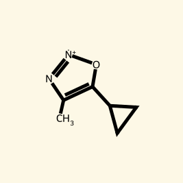 CC1=C(C2CC2)O[N+]=N1